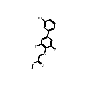 COC(=O)CSc1c(F)cc(-c2cccc(O)c2)cc1F